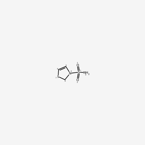 NS(=O)(=O)N1C=CSC1